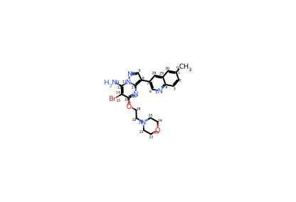 Cc1ccc2ncc(-c3cnn4c(N)c(Br)c(OCCN5CCOCC5)nc34)cc2c1